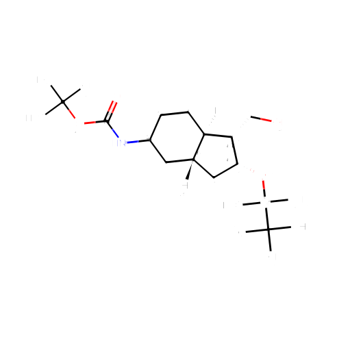 CC(C)(C)OC(=O)NC1CC[C@@H]2[C@@H](C1)C[C@@H](O[Si](C)(C)C(C)(C)C)[C@H]2CO